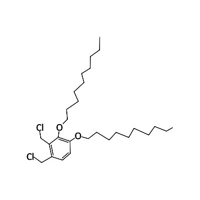 CCCCCCCCCCOc1ccc(CCl)c(CCl)c1OCCCCCCCCCC